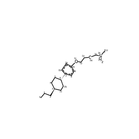 CCC[C@H]1CC[C@H](c2ccc(OCCCC[SiH2]I)cc2)CC1